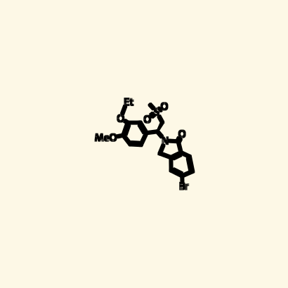 CCOc1cc([C@@H](CS(C)(=O)=O)N2Cc3cc(Br)ccc3C2=O)ccc1OC